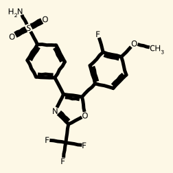 COc1ccc(-c2oc(C(F)(F)F)nc2-c2ccc(S(N)(=O)=O)cc2)cc1F